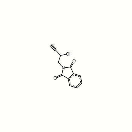 C#CC(O)CN1C(=O)c2ccccc2C1=O